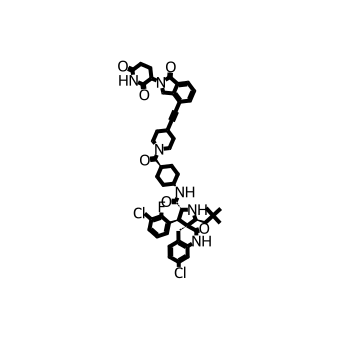 CC(C)(C)C[C@@H]1N[C@@H](C(=O)N[C@H]2CC[C@H](C(=O)N3CCC(C#Cc4cccc5c4CN(C4CCC(=O)NC4=O)C5=O)CC3)CC2)[C@H](c2cccc(Cl)c2F)[C@@]12Cc1ccc(Cl)cc1NC2=O